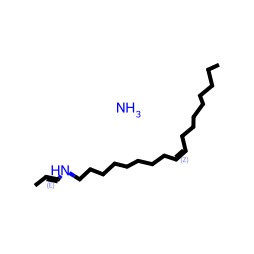 C/C=C/NCCCCCCCC/C=C\CCCCCCCC.N